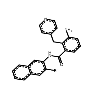 Nc1cccc(C(=O)Nc2cc3ccccc3cc2Br)c1Cc1ccncc1